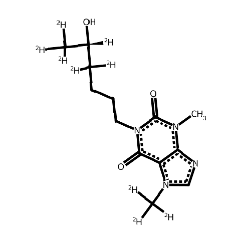 [2H]C([2H])([2H])n1cnc2c1c(=O)n(CCCC([2H])([2H])[C@@]([2H])(O)C([2H])([2H])[2H])c(=O)n2C